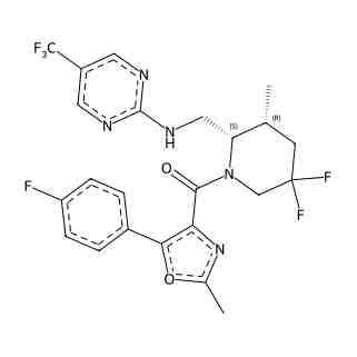 Cc1nc(C(=O)N2CC(F)(F)C[C@@H](C)[C@H]2CNc2ncc(C(F)(F)F)cn2)c(-c2ccc(F)cc2)o1